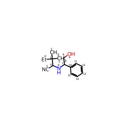 CCC(C)(C)C(C#N)NC(CO)c1ccccc1